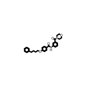 O=C(Nc1cccc(C(=O)N2CCOCC2)c1)c1ccc(OCCCCc2ccccc2)cc1